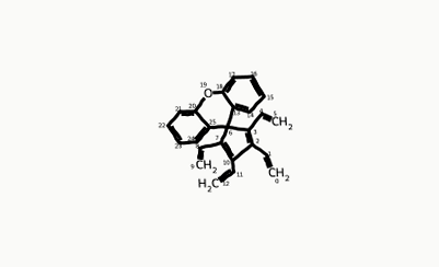 C=CC1=C(C=C)C2(C(C=C)=C1C=C)c1ccccc1Oc1ccccc12